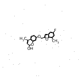 CC1=CC(O)Oc2cc(OCc3cc4cc(F)cc(C)c4o3)ccc21